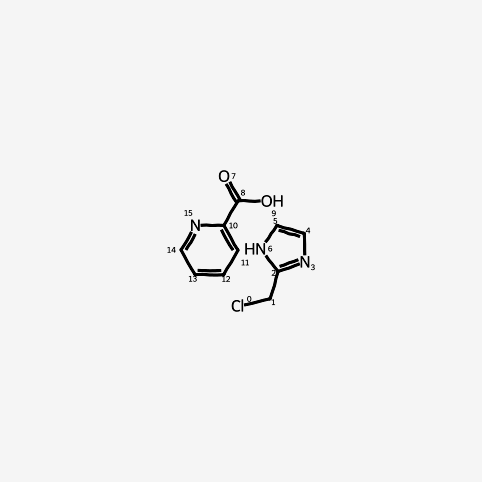 ClCc1ncc[nH]1.O=C(O)c1ccccn1